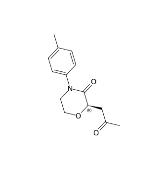 CC(=O)C[C@H]1OCCN(c2ccc(C)cc2)C1=O